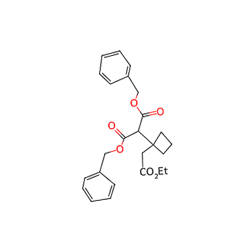 CCOC(=O)CC1(C(C(=O)OCc2ccccc2)C(=O)OCc2ccccc2)CCC1